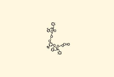 CN(C)c1cc(OCCOCCOC(=O)N(Cc2cccs2)Cc2cccs2)cc(OCC(OCCOC=O)N(Cc2cccs2)Cc2cccs2)c1